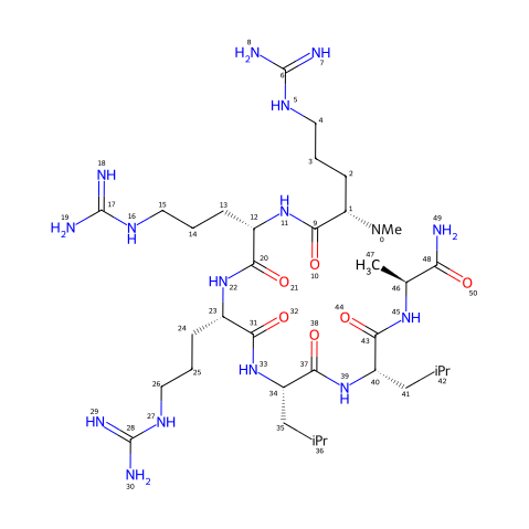 CN[C@@H](CCCNC(=N)N)C(=O)N[C@@H](CCCNC(=N)N)C(=O)N[C@@H](CCCNC(=N)N)C(=O)N[C@@H](CC(C)C)C(=O)N[C@@H](CC(C)C)C(=O)N[C@@H](C)C(N)=O